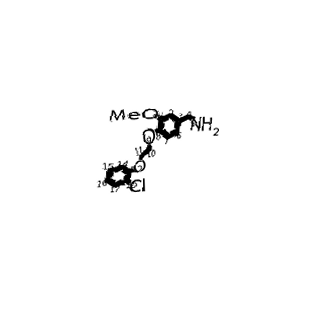 COc1cc(CN)ccc1OCCOc1ccccc1Cl